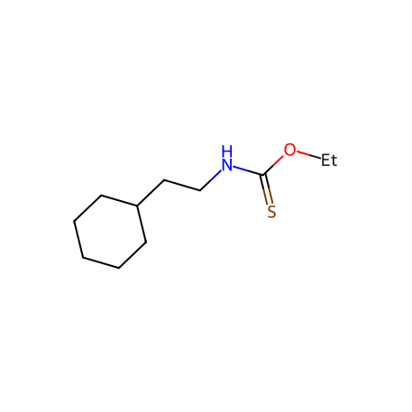 CCOC(=S)NCCC1CCCCC1